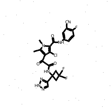 Cc1c(C(=O)C(=O)NC2(c3cn[nH]n3)CC(F)(F)C2)c(Cl)c(C(=O)Nc2ccc(F)c(C#N)c2)n1C